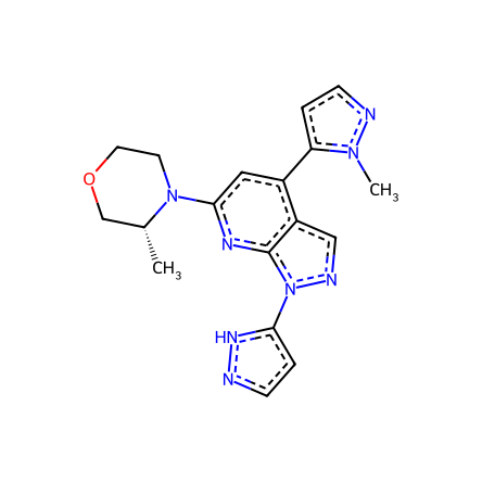 C[C@@H]1COCCN1c1cc(-c2ccnn2C)c2cnn(-c3ccn[nH]3)c2n1